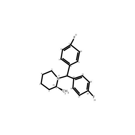 C[C@H]1CCCCN1C(c1ccc(F)cc1)c1ccc(F)cc1